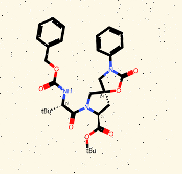 CC(C)(C)OC(=O)[C@@H]1C[C@@]2(CN(c3ccccc3)C(=O)O2)CN1C(=O)[C@@H](NC(=O)OCc1ccccc1)C(C)(C)C